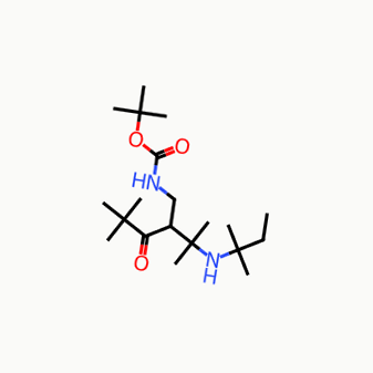 CCC(C)(C)NC(C)(C)C(CNC(=O)OC(C)(C)C)C(=O)C(C)(C)C